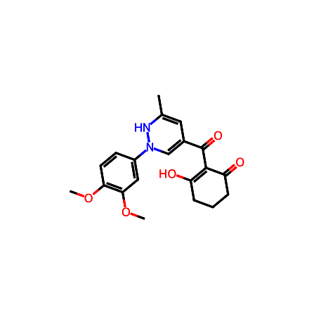 COc1ccc(N2C=C(C(=O)C3=C(O)CCCC3=O)C=C(C)N2)cc1OC